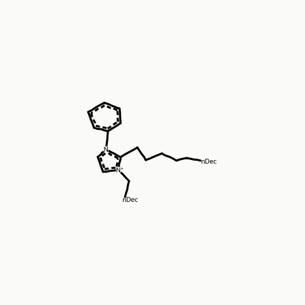 CCCCCCCCCCCCCCCc1n(-c2ccccc2)cc[n+]1CCCCCCCCCCC